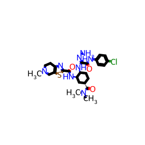 CN1CCc2nc(C(=O)N[C@@H]3C[C@@H](C(=O)N(C)C)CC[C@@H]3N/C(=N/N)C(=O)Nc3ccc(Cl)cc3)sc2C1